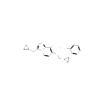 COc1ccccc1[C@@H]1C[C@H]1COc1ccn2c(CC3CC3)nnc2c1C(F)(F)F